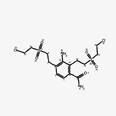 NC(=O)c1ccc(CCS(=O)(=O)CCCl)c(N)c1CCS(=O)(=O)CCCl